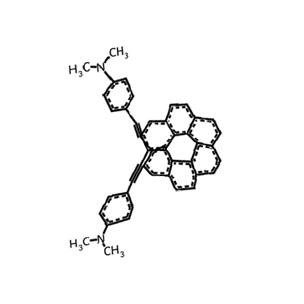 CN(C)c1ccc(C#Cc2ccc3ccc4ccc5ccc6ccc7ccc(C#Cc8ccc(N(C)C)cc8)cc7c6c5c4c3c2)cc1